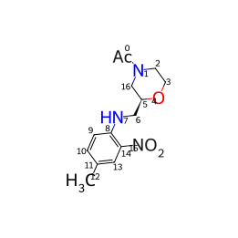 CC(=O)N1CCO[C@@H](CNc2ccc(C)cc2[N+](=O)[O-])C1